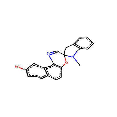 CN1c2ccccc2CC12C=Nc1c(ccc3ccc(O)cc13)O2